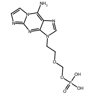 Nc1c2ncn(CCOCOP(=O)(O)O)c2nc2nccn12